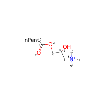 CCCCCC(=O)OCC(O)C[N+](C)(C)C